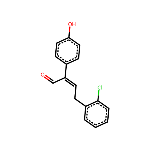 O=CC(=CCc1ccccc1Cl)c1ccc(O)cc1